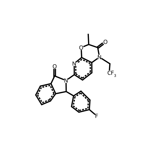 CC1Oc2nc(N3C(=O)c4ccccc4C3c3ccc(F)cc3)ccc2N(CC(F)(F)F)C1=O